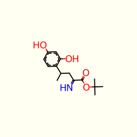 CC(CC(=N)C(=O)OC(C)(C)C)c1ccc(O)cc1O